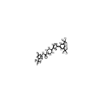 Cc1cc(C(F)(F)F)nn1CC(=O)N1CCC(c2cnc(-c3cc(C(C)(C)C)cc(C(C)(C)C)c3)s2)CC1